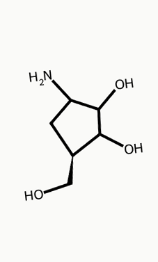 NC1C[C@H](CO)C(O)C1O